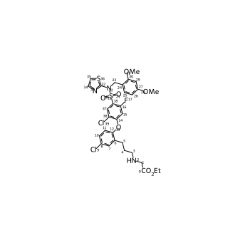 CCOC(=O)CNCCCc1cc(Cl)ccc1Oc1cc(F)c(S(=O)(=O)N(Cc2ccc(OC)cc2OC)c2nccs2)cc1Cl